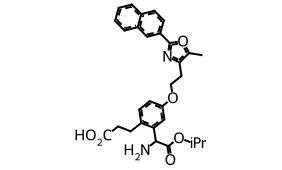 Cc1oc(-c2ccc3ccccc3c2)nc1CCOc1ccc(CCC(=O)O)c(C(N)C(=O)OC(C)C)c1